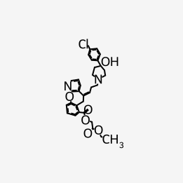 CCOC(=O)COC(=O)c1cccc2c1C/C(=C/CCN1CCC(O)(c3ccc(Cl)cc3)CC1)c1cccnc1O2